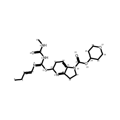 CC/C=C/N=C(/NC(=O)NC)SC1CC=C2C(=N1)CCN2C(=O)OC1CCOCC1